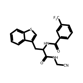 N#CCNC(=O)C(Cc1csc2ccccc12)NC(=O)c1cccc(C(F)(F)F)c1